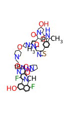 C#Cc1c(F)ccc2cc(O)cc(-c3ncc4c(N5CC6CCC(C5)N6C(=O)OC(C)(C)C)nc(OCCN5CCC(OC6CN(c7cc(C(C(=O)N8C[C@H](O)C[C@H]8C(=O)NC(C)c8ccc(-c9scnc9C)cc8)C(C)C)on7)C6)CC5)nc4c3F)c12